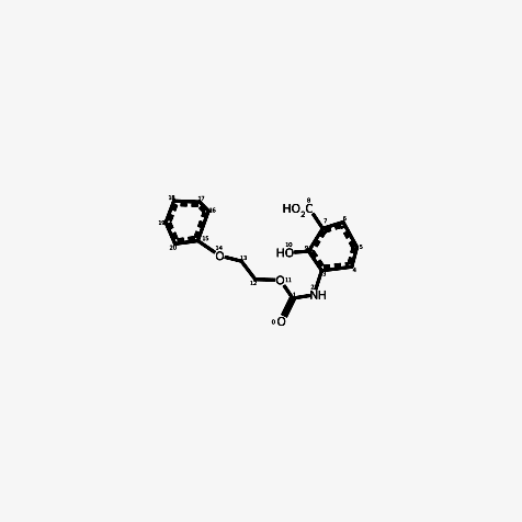 O=C(Nc1cccc(C(=O)O)c1O)OCCOc1ccccc1